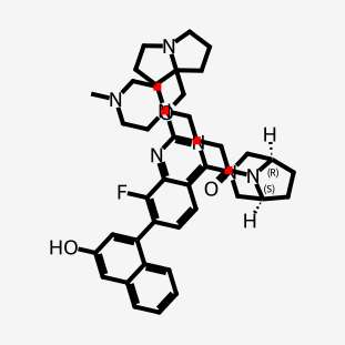 CN1CCN(CCCC(=O)N2[C@@H]3CC[C@H]2CN(c2nc(OCC45CCCN4CCC5)nc4c(F)c(-c5cc(O)cc6ccccc56)ccc24)C3)CC1